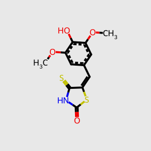 COc1cc(C=C2SC(=O)NC2=S)cc(OC)c1O